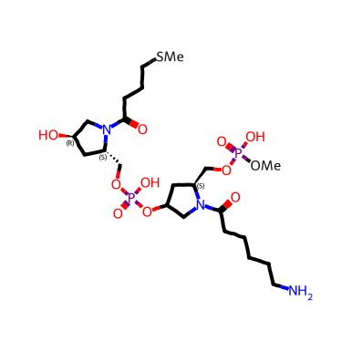 COP(=O)(O)OC[C@@H]1CC(OP(=O)(O)OC[C@@H]2C[C@@H](O)CN2C(=O)CCCSC)CN1C(=O)CCCCCN